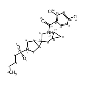 CCCCS(=O)(=O)N1CC2C(C1)C2(CNC(=O)c1ccc(Cl)cc1Cl)CC1CC1